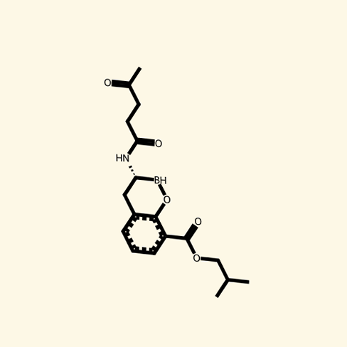 CC(=O)CCC(=O)N[C@@H]1BOc2c(cccc2C(=O)OCC(C)C)C1